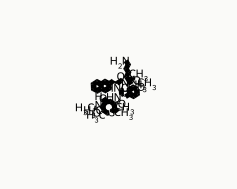 COc1ccc(C[C@H](NC(=O)[C@H]2CC(=O)[C@@H](NC(C)=O)C(C)(C)CSC2(C)C)C(=O)N[C@@H](Cc2ccc3ccccc3c2)C(=O)NC(C)(CCCCN)C(C)=O)cc1